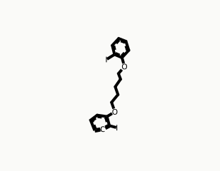 Ic1ccccc1OCCCCCOc1ccccc1I